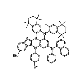 Cc1cc2c(cc1N1c3cc4c(cc3B3c5sc6ccc(C(C)(C)C)cc6c5N(c5ccc(C(C)C)cc5)c5cc(N(c6ccccc6)c6cccc7ccccc67)cc1c53)C(C)(C)CCC4(C)C)C(C)(C)CCC2(C)C